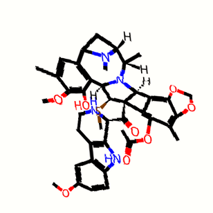 COc1ccc2[nH]c3c(c2c1)CCN[C@H]3C(=O)[C@]12c3c(OC(C)=O)c(C)c4c(c3[C@@H]1N1[C@H](c3c(cc(C)c(OC)c3O)C3C[C@H]([C@@H]1C)N3C)[C@@H]2SC)OCO4